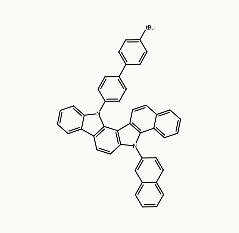 CC(C)(C)c1ccc(-c2ccc(-n3c4ccccc4c4ccc5c(c6ccc7ccccc7c6n5-c5ccc6ccccc6c5)c43)cc2)cc1